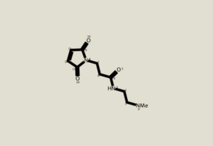 CNCCNC(=O)CCN1C(=O)C=CC1=O